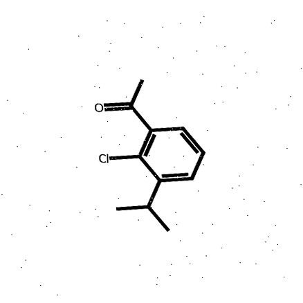 CC(=O)c1cccc(C(C)C)c1Cl